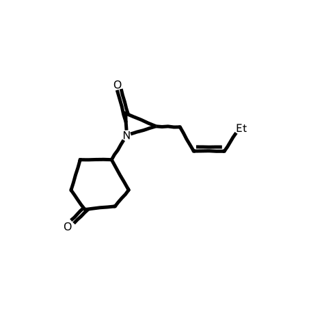 CC/C=C\CC1C(=O)N1C1CCC(=O)CC1